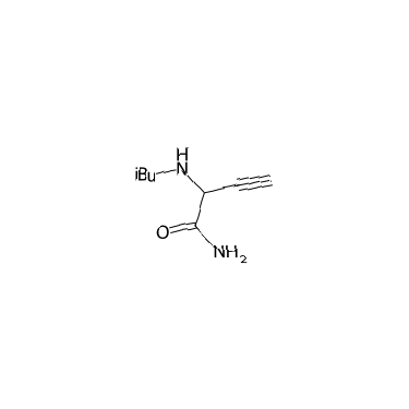 C#CC(NC(C)CC)C(N)=O